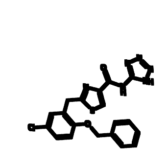 O=C(Nc1nnn[nH]1)c1csc(Cc2cc(Cl)ccc2OCc2ccccc2)n1